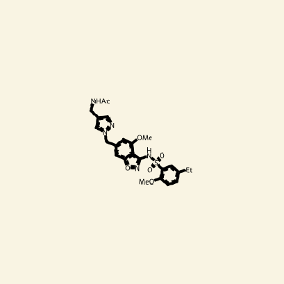 CCc1ccc(OC)c(S(=O)(=O)Nc2noc3cc(Cn4cc(CNC(C)=O)cn4)cc(OC)c23)c1